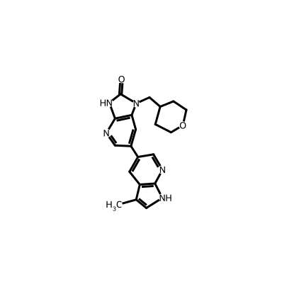 Cc1c[nH]c2ncc(-c3cnc4[nH]c(=O)n(CC5CCOCC5)c4c3)cc12